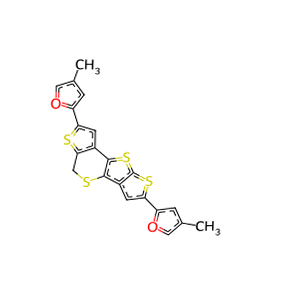 Cc1coc(-c2cc3c(s2)CSc2c-3sc3sc(-c4cc(C)co4)cc23)c1